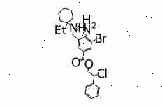 CCC1(NCc2cc(C(=O)OCC(Cl)c3ccccc3)cc(Br)c2N)CCCCC1